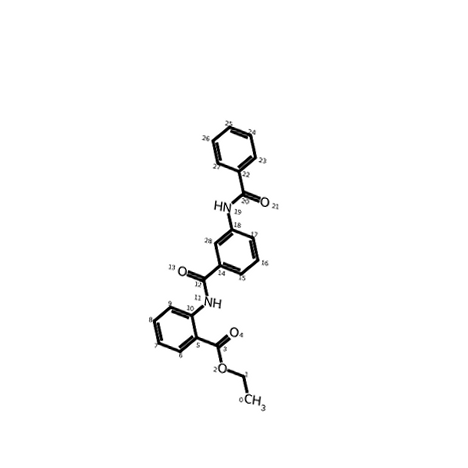 CCOC(=O)c1ccccc1NC(=O)c1cccc(NC(=O)c2ccccc2)c1